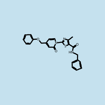 Cc1nc(-n2ccc(COc3ccccc3)cc2=O)sc1C(=O)NCc1ccccc1